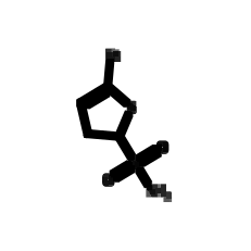 CCC1=CCC(S(N)(=O)=O)S1